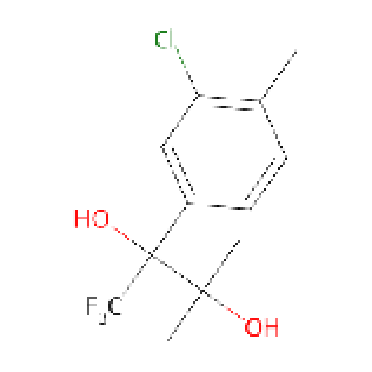 Cc1ccc(C(O)(C(C)(C)O)C(F)(F)F)cc1Cl